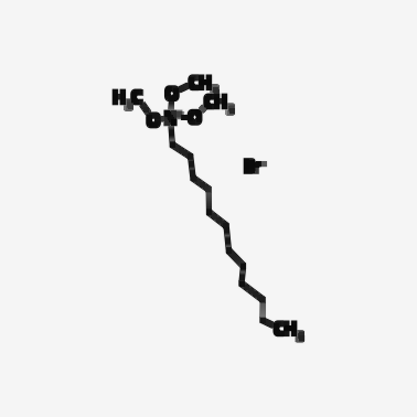 CCCCCCCCCCCC[N+](OC)(OC)OC.[Br-]